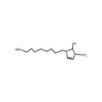 CCCCCCCCCCCCCCCCCCN1C=CN(C)C1CCC